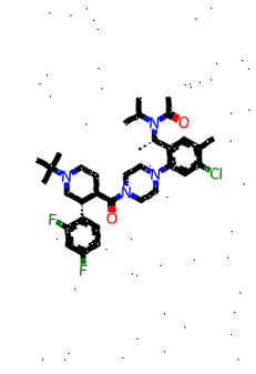 CC(=O)N(C(C)C)[C@@H](C)c1cc(C)c(Cl)cc1N1CCN(C(=O)C2CCN(C(C)(C)C)C[C@H]2c2ccc(F)cc2F)CC1